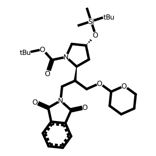 CC(C)(C)OC(=O)N1C[C@H](O[Si](C)(C)C(C)(C)C)C[C@H]1C(COC1CCCCO1)CN1C(=O)c2ccccc2C1=O